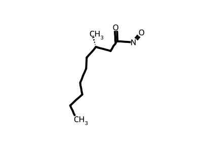 CCCCCC[C@H](C)CC(=O)N=O